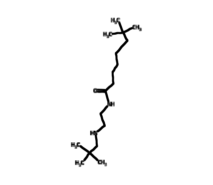 CC(C)(C)CCCCCC(=O)NCCNCC(C)(C)C